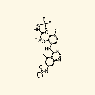 Cc1cc(N=S2(=O)CCC2)cc2ncnc(Nc3ccc(Cl)cc3O[C@H](C)C(=O)N[C@H](C)C(F)(F)F)c12